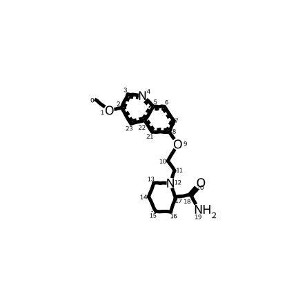 COc1cnc2ccc(OCCN3CC[CH]CC3C(N)=O)cc2c1